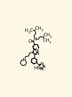 CC(C)CCN(CCC(C)C)C(=O)c1ccn2nc(-c3cccc(-c4nnn[nH]4)c3)c(CCCN3CCCCC3)c2c1